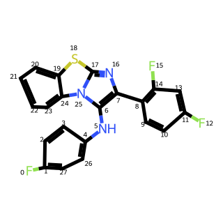 Fc1ccc(Nc2c(-c3ccc(F)cc3F)nc3sc4ccccc4n23)cc1